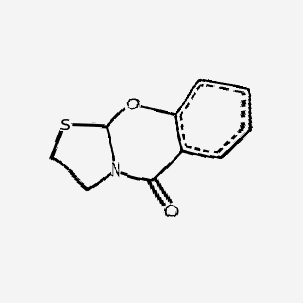 O=C1c2ccccc2OC2SCCN12